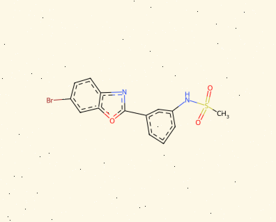 CS(=O)(=O)Nc1cccc(-c2nc3ccc(Br)cc3o2)c1